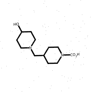 O=C(O)N1CCC(CN2CCC(O)CC2)CC1